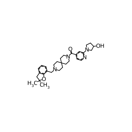 CC1(C)Cc2cccc(CN3CCC4(CC3)CCN(C(=O)c3ccnc(N5CCC(O)C5)c3)CC4)c2O1